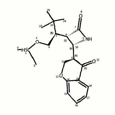 C[SiH](C)OC[C@H]([C@@H]1C(=O)N[C@@H]1[C@@H]1COc2ccccc2C1=O)C(C)(C)C